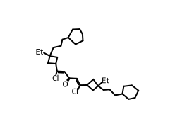 CCC1(CCCC2CCCCC2)CC(C(Cl)=CC(=O)C=C(Cl)C2CC(CC)(CCCC3CCCCC3)C2)C1